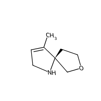 CC1=CCN[C@]12CCOC2